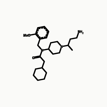 COc1ccccc1CN(C(=O)CC1CCCCC1)C1CCN(C(C)CCN)CC1